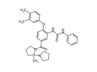 Cc1ccc(Oc2ccc(C(=O)N3CCCC3(C)N3CCCC3)cc2NC(=O)Nc2ccccc2)cc1C